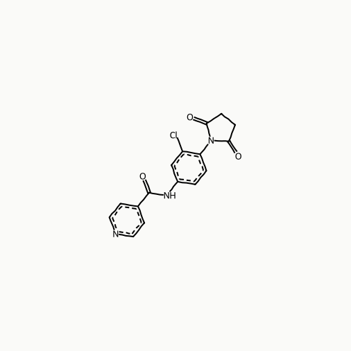 O=C(Nc1ccc(N2C(=O)CCC2=O)c(Cl)c1)c1ccncc1